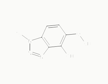 COc1ccc2c(nn[n]2[Ag])c1O